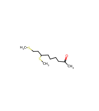 CSCCC(CCCCC(C)=O)SC